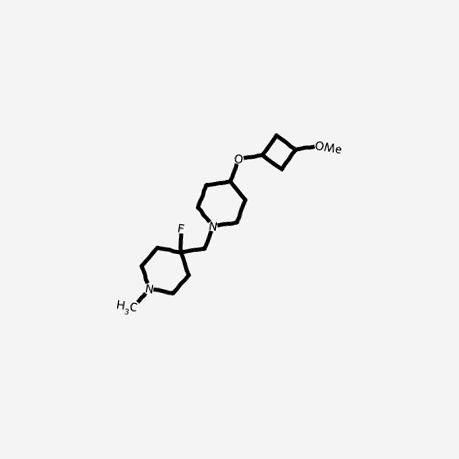 COC1CC(OC2CCN(CC3(F)CCN(C)CC3)CC2)C1